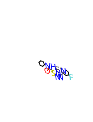 CCn1c(SCC(=O)Nc2ccccc2)nnc1-c1cc(F)ccn1